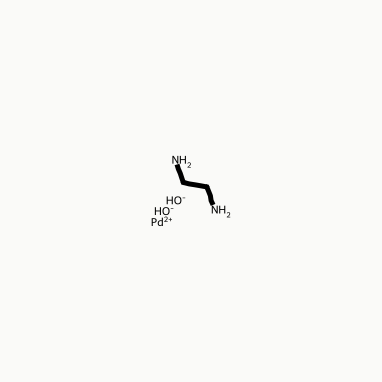 NCCN.[OH-].[OH-].[Pd+2]